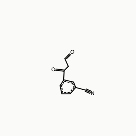 N#Cc1cccc(C(=O)CC=O)c1